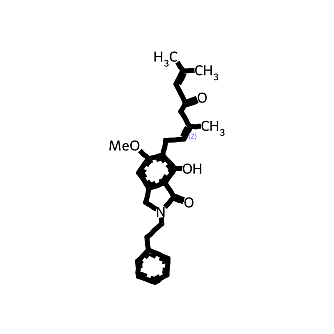 COc1cc2c(c(O)c1C/C=C(/C)CC(=O)C=C(C)C)C(=O)N(CCc1ccccc1)C2